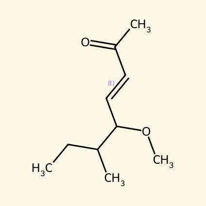 CCC(C)C(/C=C/C(C)=O)OC